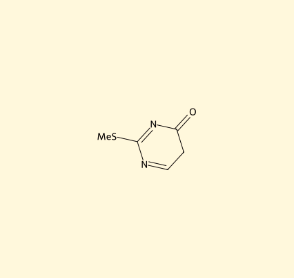 CSC1=NC(=O)CC=N1